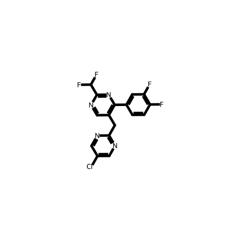 Fc1ccc(-c2nc(C(F)F)ncc2Cc2ncc(Cl)cn2)cc1F